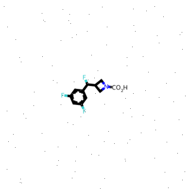 O=C(O)N1CC(C(F)c2cc(F)cc(F)c2)C1